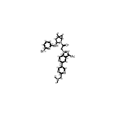 CC(=O)c1nn(CC(=O)N2C(Bc3cccc(Br)n3)CC3(C)CC23)c2cnc(-c3cnc(CN(C)C)nc3)cc12